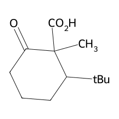 CC(C)(C)C1CCCC(=O)C1(C)C(=O)O